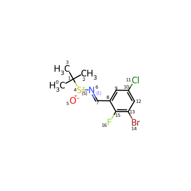 CC(C)(C)[S@@+]([O-])/N=C/c1cc(Cl)cc(Br)c1F